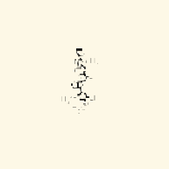 COc1cc(OC)c(CCC2(C3CCCC3)CC(O)=C(Sc3nnc(-c4cccs4)n3C)C(=O)O2)cc1Cl